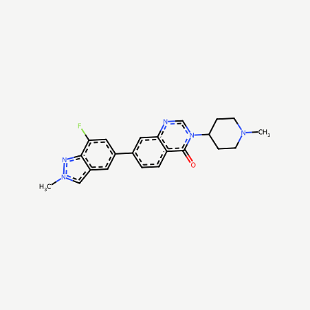 CN1CCC(n2cnc3cc(-c4cc(F)c5nn(C)cc5c4)ccc3c2=O)CC1